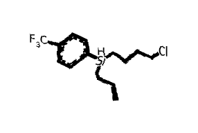 C=CC[SiH](CCCCCl)c1ccc(C(F)(F)F)cc1